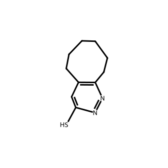 Sc1cc2c(nn1)CCCCCC2